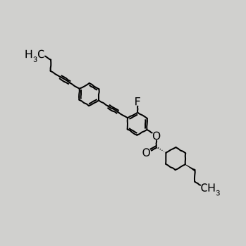 CCCC#Cc1ccc(C#Cc2ccc(OC(=O)[C@H]3CC[C@H](CCC)CC3)cc2F)cc1